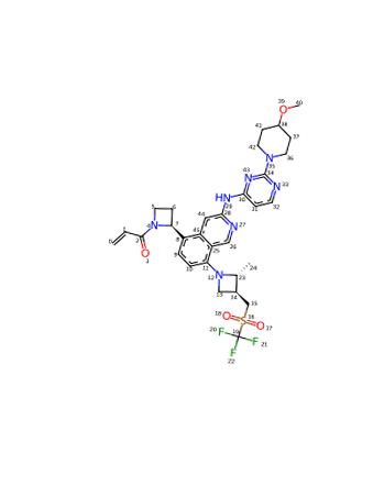 C=CC(=O)N1CC[C@H]1c1ccc(N2C[C@H](CS(=O)(=O)C(F)(F)F)[C@H]2C)c2cnc(Nc3ccnc(N4CCC(OC)CC4)n3)cc12